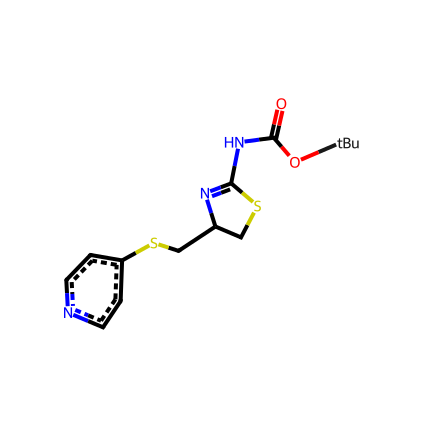 CC(C)(C)OC(=O)NC1=NC(CSc2ccncc2)CS1